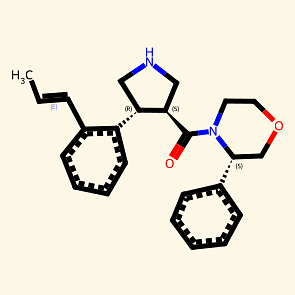 C/C=C/c1ccccc1[C@@H]1CNC[C@H]1C(=O)N1CCOC[C@@H]1c1ccccc1